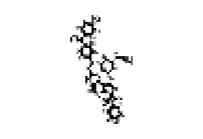 N#CC[C@H]1CC[C@H](n2c(CCc3ccc(C(=O)c4ccc(Br)cc4)cc3)nc3cnc4c(ccn4S(=O)(=O)c4ccccc4)c32)CC1